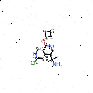 CC(C)(N)c1cnc(O[C@H]2C[C@H](F)C2)c2cnc(Cl)cc12